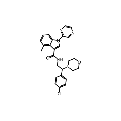 Cc1cccc2c1c(C(=O)NCC(c1ccc(Cl)cc1)N1CCOCC1)cn2-c1cnccn1